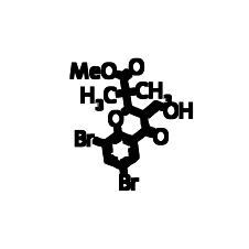 COC(=O)C(C)(C)C1Oc2c(Br)cc(Br)cc2C(=O)C1=CO